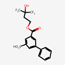 O=C(OCCC(O)(C(F)(F)F)C(F)(F)F)c1cc(-c2ccccc2)cc(S(=O)(=O)O)c1